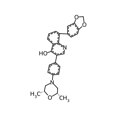 C[C@@H]1CN(c2ccc(-c3cnc4c(-c5ccc6c(c5)OCO6)cccc4c3O)cc2)C[C@H](C)O1